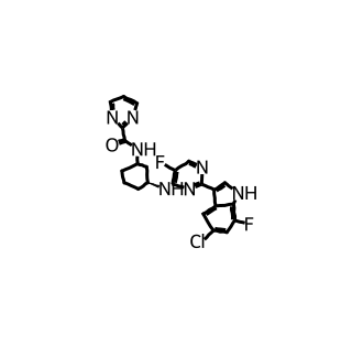 O=C(NC1CCC[C@H](Nc2nc(-c3c[nH]c4c(F)cc(Cl)cc34)ncc2F)C1)c1ncccn1